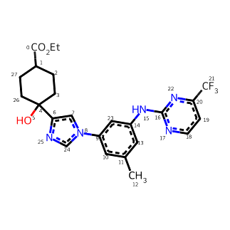 CCOC(=O)C1CCC(O)(c2cn(-c3cc(C)cc(Nc4nccc(C(F)(F)F)n4)c3)cn2)CC1